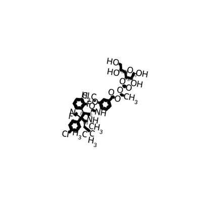 COc1cc(C(=O)OC(C)OC(=O)O[C@@H]2[C@@H](O)[C@@H](O)O[C@H]2[C@H](O)CO)ccc1NC(=O)[C@@H]1N[C@@H](CC(C)(C)C)[C@](C#N)(c2ccc(Cl)cc2F)[C@H]1c1cccc(Cl)c1F